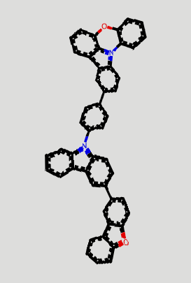 c1ccc2c(c1)Oc1cccc3c4cc(-c5ccc(-n6c7ccccc7c7cc(-c8ccc9oc%10ccccc%10c9c8)ccc76)cc5)ccc4n-2c13